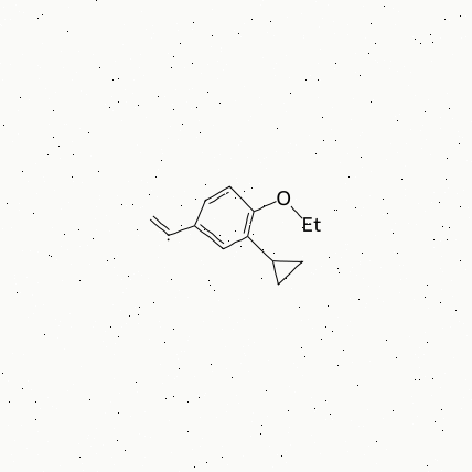 C=[C]c1ccc(OCC)c(C2CC2)c1